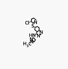 Cn1ccc(Nc2ncnc3ccc(Sc4ncccc4Cl)cc23)n1